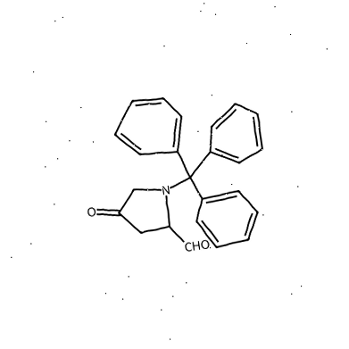 O=CC1CC(=O)CN1C(c1ccccc1)(c1ccccc1)c1ccccc1